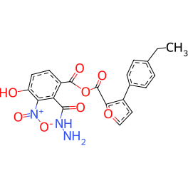 CCc1ccc(-c2ccoc2C(=O)OC(=O)c2ccc(O)c([N+](=O)[O-])c2C(=O)NN)cc1